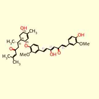 COc1cc(/C=C/C(=O)/C=C(O)/C=C/c2ccc(O[C@H]3C=C(C)[C@@H](O)C[C@@H]3[C@@H](C)CC(=O)C=C(C)C)c(OC)c2)ccc1O